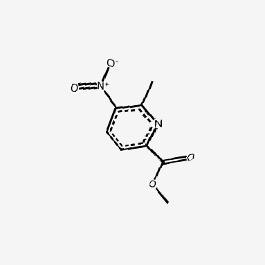 COC(=O)c1ccc([N+](=O)[O-])c(C)n1